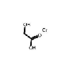 O=C(O)CO.[Cr]